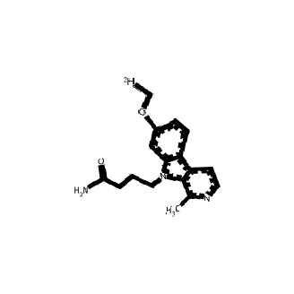 [2H]COc1ccc2c3ccnc(C)c3n(CCCC(N)=O)c2c1